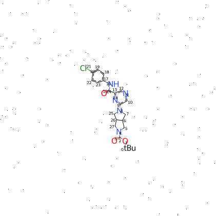 CC(C)(C)OC(=O)N1CC2CN(c3cncc(C(=O)Nc4ccc(Cl)cc4)n3)CC2C1